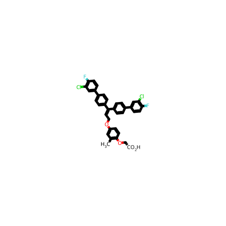 Cc1cc(OCC=C(c2ccc(-c3ccc(F)c(Cl)c3)cc2)c2ccc(-c3ccc(F)c(Cl)c3)cc2)ccc1OCC(=O)O